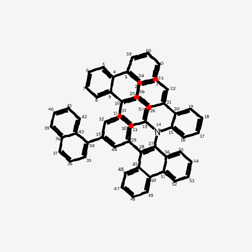 c1ccc(-c2ccccc2-c2ccc(N(c3ccccc3-c3ccccc3)c3c(-c4cccc(-c5cccc6ccccc56)c4)c4ccccc4c4ccccc34)cc2)cc1